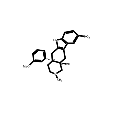 COc1cccc([C@@]23CCN(C)C[C@@]2(O)Cc2c([nH]c4ccc([N+](=O)[O-])cc24)C3)c1